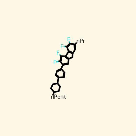 CCCCCC1CCC(c2ccc(-c3cc4c(c(F)c3F)-c3c(cc(CCC)c(F)c3F)C4)cc2)CC1